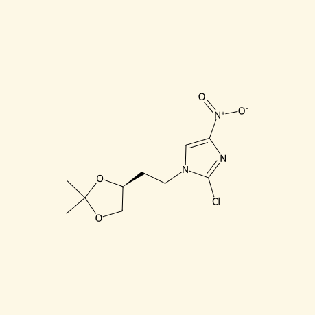 CC1(C)OC[C@H](CCn2cc([N+](=O)[O-])nc2Cl)O1